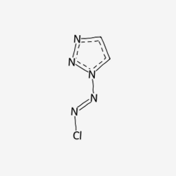 Cl/N=N/n1ccnn1